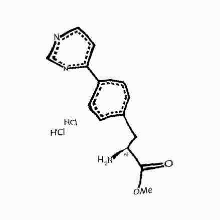 COC(=O)[C@@H](N)Cc1ccc(-c2ccncn2)cc1.Cl.Cl